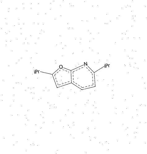 CC(C)c1ccc2cc(C(C)C)oc2n1